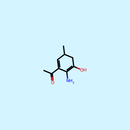 CC(=O)C1=CC(C)CC(O)=C1N